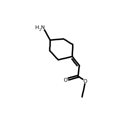 COC(=O)C=C1CCC(N)CC1